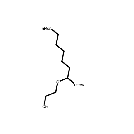 CCCCCCCCCCCCCCC(CCCCCC)OCCO